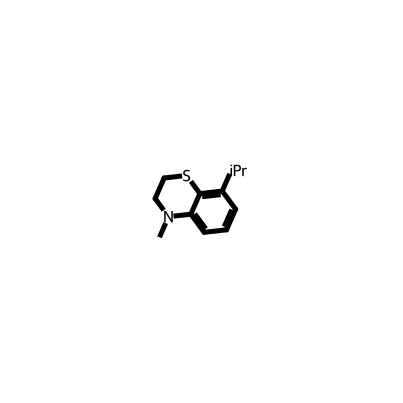 CC(C)c1cccc2c1SCCN2C